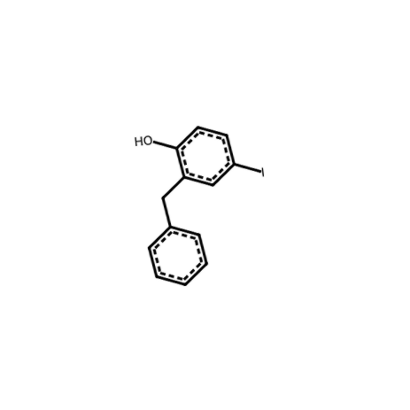 Oc1ccc(I)cc1Cc1ccccc1